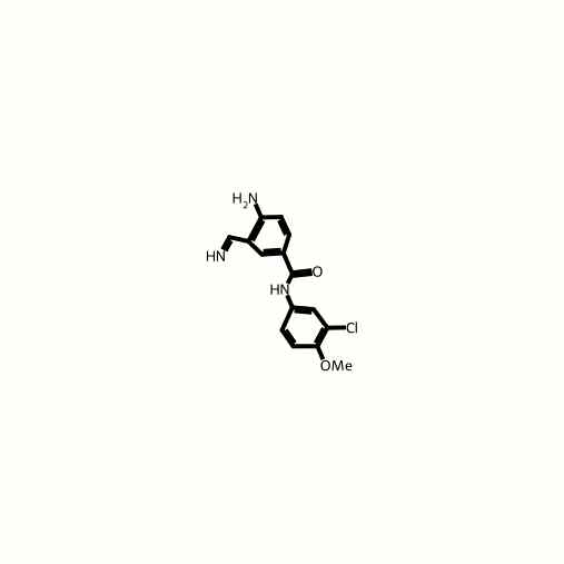 COc1ccc(NC(=O)c2ccc(N)c(C=N)c2)cc1Cl